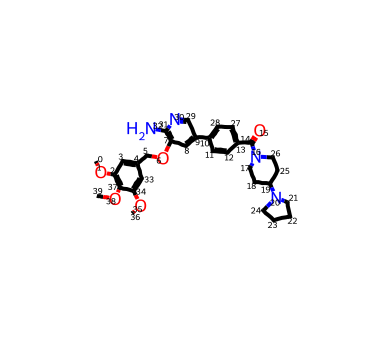 COc1cc(COc2cc(-c3ccc(C(=O)N4CCC(N5CCCC5)CC4)cc3)cnc2N)cc(OC)c1OC